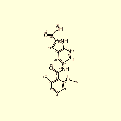 COc1cccc(F)c1C(=O)Nc1cnc2[nH]c(C(=O)O)cc2c1